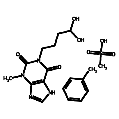 CS(=O)(=O)O.Cc1ccccc1.Cn1c(=O)n(CCCC(O)O)c(=O)c2[nH]cnc21